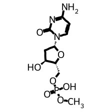 COP(=O)(O)OC[C@H]1O[C@@H](n2ccc(N)nc2=O)C[C@@H]1O